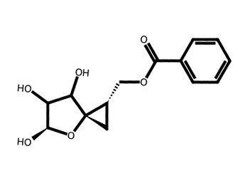 O=C(OC[C@@H]1C[C@]12O[C@@H](O)C(O)C2O)c1ccccc1